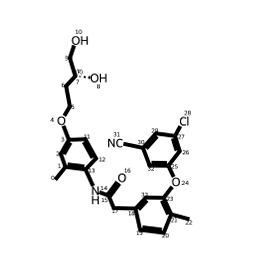 Cc1cc(OCC[C@@H](O)CO)ccc1NC(=O)Cc1ccc(C)c(Oc2cc(Cl)cc(C#N)c2)c1